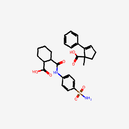 CC1(C(=O)O)CCC=C1c1ccccc1.NS(=O)(=O)c1ccc(NC(=O)C2CCCCC2C(=O)O)cc1